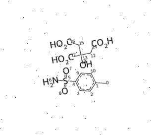 Cc1ccc(S(N)(=O)=O)cc1.O=C(O)CC(O)(CC(=O)O)C(=O)O